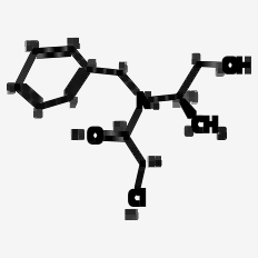 C[C@H](CO)N(Cc1ccccc1)C(=O)CCl